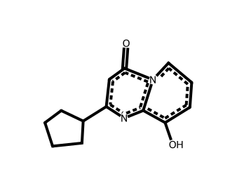 O=c1cc(C2CCCC2)nc2c(O)cccn12